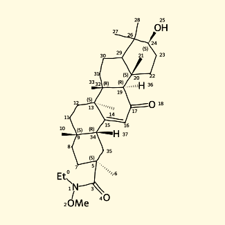 CCN(OC)C(=O)[C@@]1(C)CC[C@]2(C)CC[C@]3(C)C(=CC(=O)[C@@H]4[C@@]5(C)CC[C@H](O)C(C)(C)C5CC[C@]43C)[C@@H]2C1